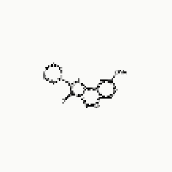 COc1ccc2[nH]nc3c(=O)n(-c4ccccc4)nc-3c2c1